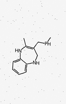 CPCC1=C(C)Nc2ccccc2NC1